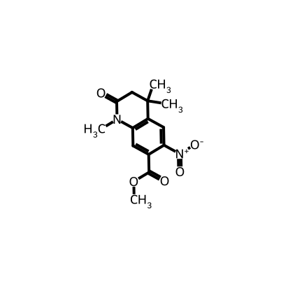 COC(=O)c1cc2c(cc1[N+](=O)[O-])C(C)(C)CC(=O)N2C